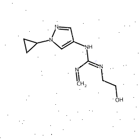 C=N/C(=N\CCO)Nc1cnn(C2CC2)c1